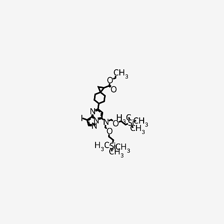 CCOC(=O)C1CC12CCC(c1cc(N(COCC[Si](C)(C)C)COCC[Si](C)(C)C)n3ncc(I)c3n1)CC2